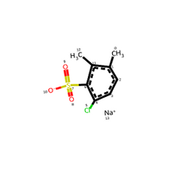 Cc1ccc(Cl)c(S(=O)(=O)[O-])c1C.[Na+]